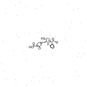 O=C(O)CN1CCN(C/C=C2/CN(C(C(=O)C3CC3)c3ccccc3F)CCC2S)CC1=O